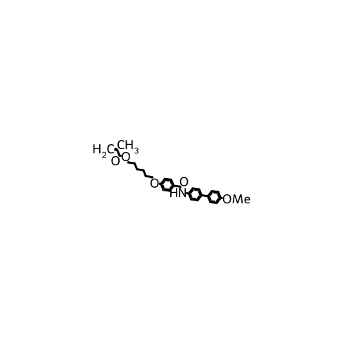 C=C(C)C(=O)OCCCCCCOc1ccc(C(=O)Nc2ccc(-c3ccc(OC)cc3)cc2)cc1